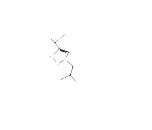 CC(C)CN1C=C(C(C)C)NN1